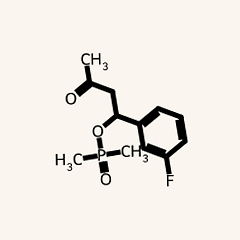 CC(=O)CC(OP(C)(C)=O)c1cccc(F)c1